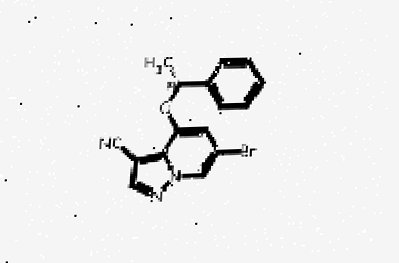 C[C@@H](Oc1cc(Br)cn2ncc(C#N)c12)c1ccccc1